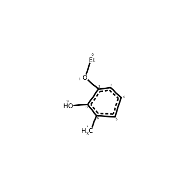 CCOc1cccc(C)c1O